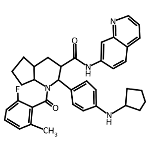 Cc1cccc(F)c1C(=O)N1C2CCCC2CC(C(=O)Nc2ccc3cccnc3c2)C1c1ccc(NC2CCCC2)cc1